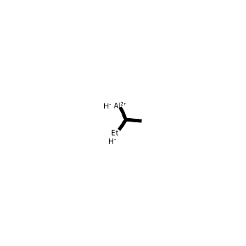 CC[CH](C)[Al+2].[H-].[H-]